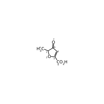 CC1OC(C(=O)O)=CC1=O